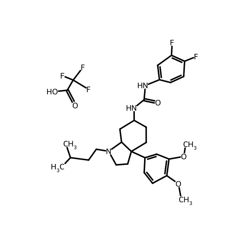 COc1ccc(C23CCC(NC(=O)Nc4ccc(F)c(F)c4)CC2N(CCC(C)C)CC3)cc1OC.O=C(O)C(F)(F)F